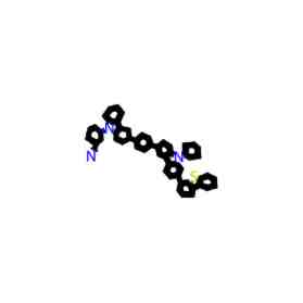 N#CC1=CC=CC(n2c3c(c4ccccc42)CC(c2ccc(-c4ccc5c(c4)c4ccc(-c6cccc7c6sc6ccccc67)cc4n5-c4ccccc4)cc2)C=C3)C1